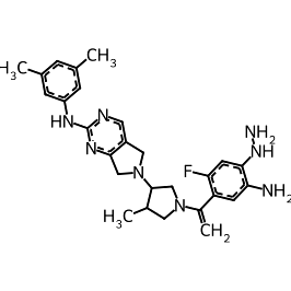 C=C(c1cc(N)c(NN)cc1F)N1CC(C)C(N2Cc3cnc(Nc4cc(C)cc(C)c4)nc3C2)C1